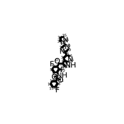 O=C(c1c(F)ccc(NS(=O)(=O)c2cccc(F)c2)c1F)c1c[nH]c2ncc(-c3cnc(-n4cccn4)cn3)cc12